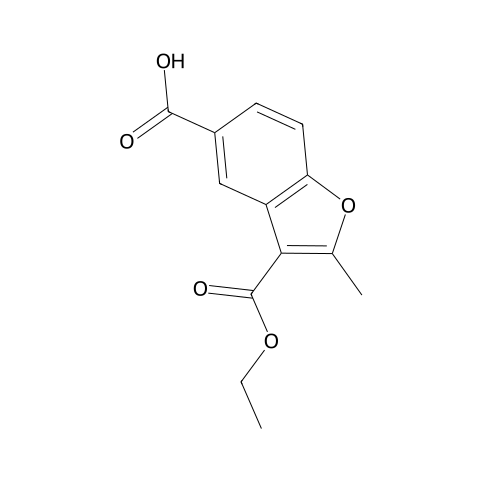 CCOC(=O)c1c(C)oc2ccc(C(=O)O)cc12